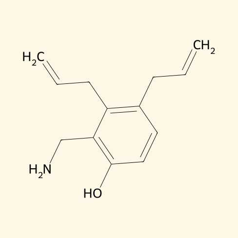 C=CCc1ccc(O)c(CN)c1CC=C